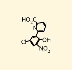 O=C(O)c1cccc(-c2cc(Cl)cc([N+](=O)[O-])c2O)n1